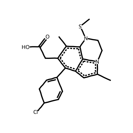 CSN1CCn2c(C)cc3c(C4=CCC(Cl)C=C4)c(CC(=O)O)c(C)c1c32